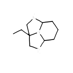 CCC12CNC3CCCC(NC1)N32